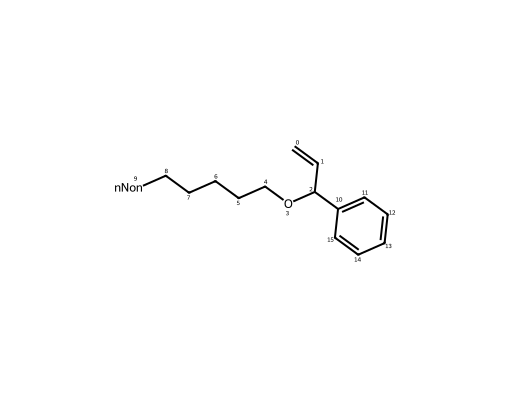 C=CC(OCCCCCCCCCCCCCC)c1ccccc1